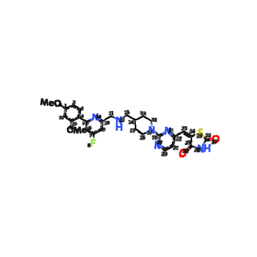 COc1ccc(-c2cc(F)cc(CNCC3CCN(c4nccc(C=C5SC(=O)NC5=O)n4)CC3)n2)c(OC)c1